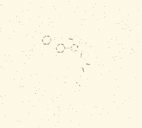 CS(=O)(=O)NCC=CC(=O)N1CC[C@@H](n2nc(-c3ccc(Oc4ccccc4)cc3)c(C(N)=O)c2N)C1